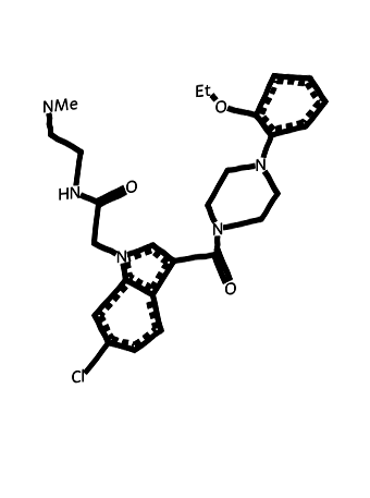 CCOc1ccccc1N1CCN(C(=O)c2cn(CC(=O)NCCNC)c3cc(Cl)ccc23)CC1